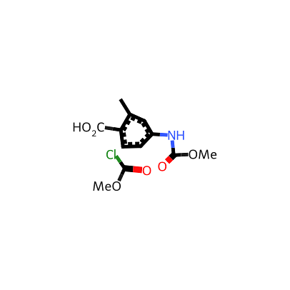 COC(=O)Cl.COC(=O)Nc1ccc(C(=O)O)c(C)c1